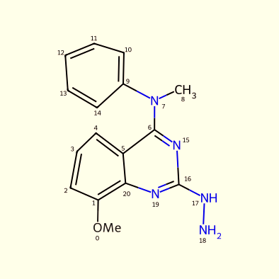 COc1cccc2c(N(C)c3ccccc3)nc(NN)nc12